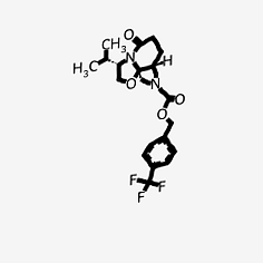 CC(C)[C@H]1CO[C@]23CCN(C(=O)OCc4ccc(C(F)(F)F)cc4)C[C@H]2CCC(=O)N13